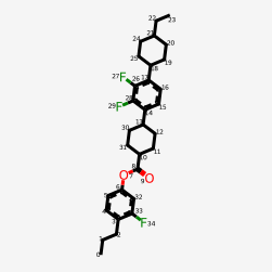 CCCc1ccc(OC(=O)C2CCC(c3ccc(C4CCC(CC)CC4)c(F)c3F)CC2)cc1F